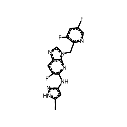 Cc1cc(Nc2nc3c(cc2F)ncn3Cc2ncc(F)cc2F)n[nH]1